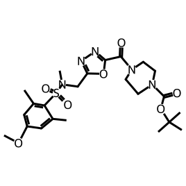 COc1cc(C)c(S(=O)(=O)N(C)Cc2nnc(C(=O)N3CCN(C(=O)OC(C)(C)C)CC3)o2)c(C)c1